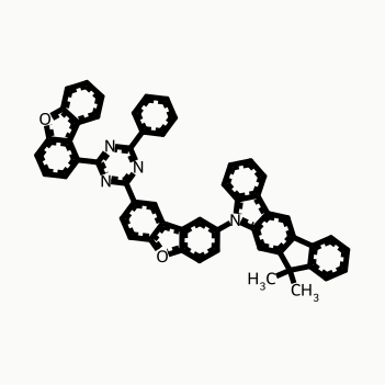 CC1(C)c2ccccc2-c2cc3c4ccccc4n(-c4ccc5oc6ccc(-c7nc(-c8ccccc8)nc(-c8cccc9oc%10ccccc%10c89)n7)cc6c5c4)c3cc21